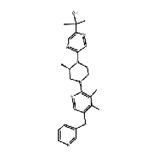 Cc1c(Cc2cccnc2)nnc(N2CCN(c3cnc(C(C)(C)O)cn3)[C@H](C)C2)c1C